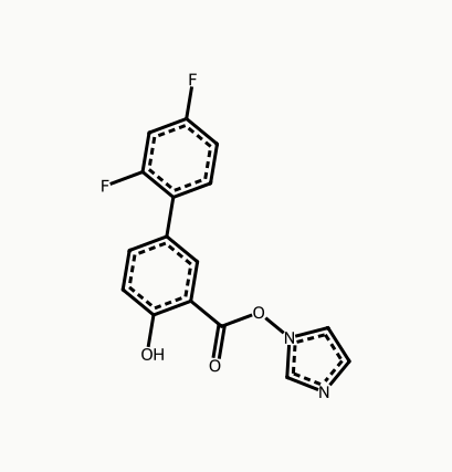 O=C(On1ccnc1)c1cc(-c2ccc(F)cc2F)ccc1O